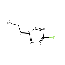 CC(C)CCc1ccc(F)cc1